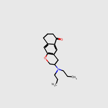 CCCN(CCC)C1COc2cc3c(cc2C1)C(=O)CCC3